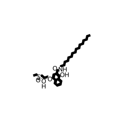 CCCCCCCCCCCCCCCCNC(=O)c1cc(OCC(O)C[S+]([O-])CC)c2ccccc2c1O